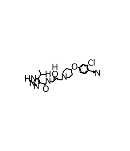 CC(C)c1[nH]nnc1C(=O)NC[C@@H](O)CN1CCC(Oc2ccc(C#N)c(Cl)c2)CC1